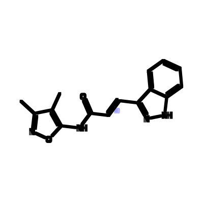 Cc1noc(NC(=O)/C=C/c2n[nH]c3ccccc23)c1C